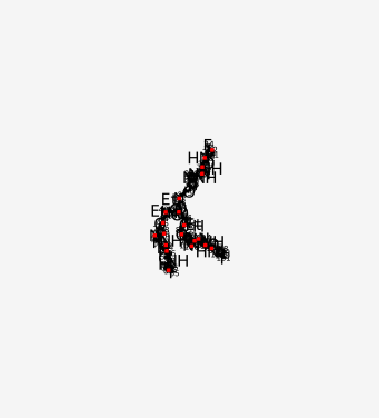 CCN(CCCOc1ccc2c(Nc3cc(CC(=O)Nc4cccc(F)c4)[nH]n3)ncnc2c1)CCOP(=O)(OCCN(CC)CCCOc1ccc2c(Nc3cc(CC(=O)Nc4cccc(F)c4)[nH]n3)ncnc2c1)OCCN(CC)CCCOc1ccc2c(Nc3cc(CC(=O)Nc4cccc(F)c4)[nH]n3)ncnc2c1